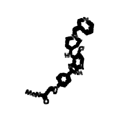 CNC(=O)COc1ccc(-c2nc3c(NC4CCN(Cc5cccnc5)CC4)c(Cl)cnc3[nH]2)cc1